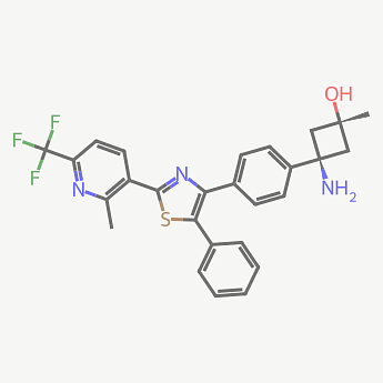 Cc1nc(C(F)(F)F)ccc1-c1nc(-c2ccc([C@]3(N)C[C@](C)(O)C3)cc2)c(-c2ccccc2)s1